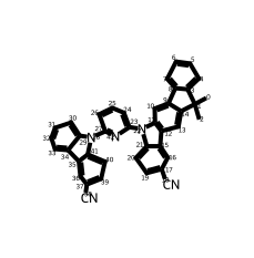 CC1(C)c2ccccc2-c2cc3c(cc21)c1cc(C#N)ccc1n3-c1cccc(-n2c3ccccc3c3cc(C#N)ccc32)n1